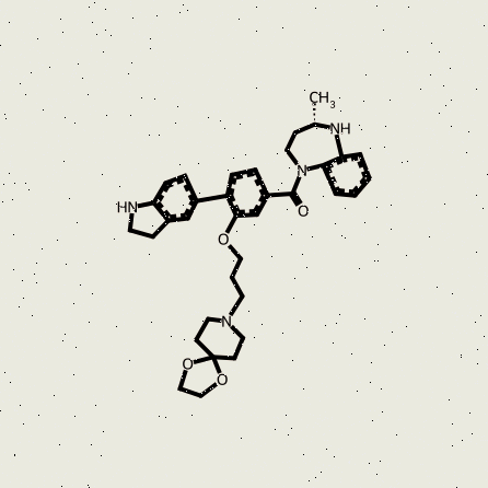 C[C@H]1CCN(C(=O)c2ccc(-c3ccc4c(c3)CCN4)c(OCCCN3CCC4(CC3)OCCO4)c2)c2ccccc2N1